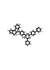 c1ccc(C2=NC(c3ccc(-c4ccccc4)cc3)=NC(c3ccc(-n4c5ccccc5c5c6sccc6ccc54)cc3)N2)cc1